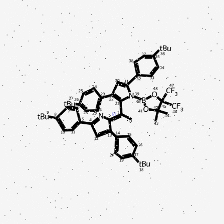 C/C(=C1/N=C(c2ccc(C(C)(C)C)cc2)C=C1c1ccc(C(C)(C)C)cc1)c1c(-c2ccc(C(C)(C)C)cc2)cc(-c2ccc(C(C)(C)C)cc2)n1B1OC(C)(C)C(C(F)(F)F)(C(F)(F)F)O1